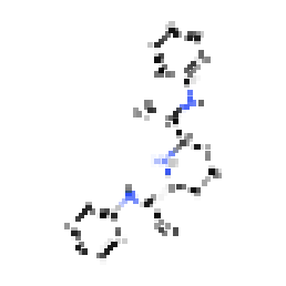 C/C(=N\c1ccccc1)C1CCCC(/C(C)=N/c2ccccc2)N1